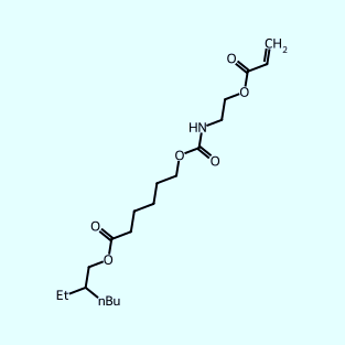 C=CC(=O)OCCNC(=O)OCCCCCC(=O)OCC(CC)CCCC